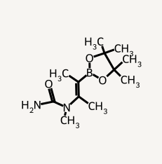 C/C(B1OC(C)(C)C(C)(C)O1)=C(/C)N(C)C(N)=O